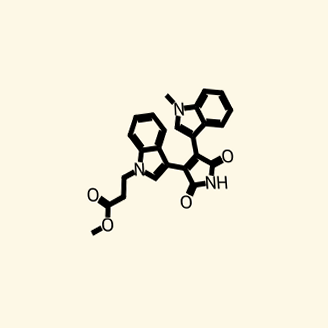 COC(=O)CCn1cc(C2=C(c3cn(C)c4ccccc34)C(=O)NC2=O)c2ccccc21